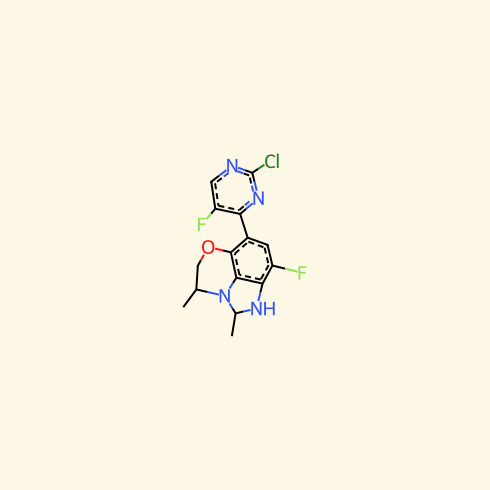 CC1COc2c(-c3nc(Cl)ncc3F)cc(F)c3c2N1C(C)N3